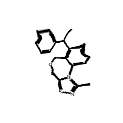 Cc1nnc2n1-c1cccc(C(C)c3ccccc3)c1COC2